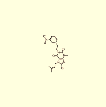 CC(C)=CCn1c(Cl)nc2c1c(=O)n(CCc1cccc([N+](=O)[O-])c1)c(=O)n2C